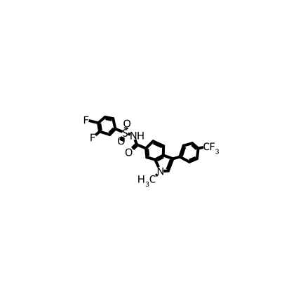 Cn1cc(-c2ccc(C(F)(F)F)cc2)c2ccc(C(=O)NS(=O)(=O)c3ccc(F)c(F)c3)cc21